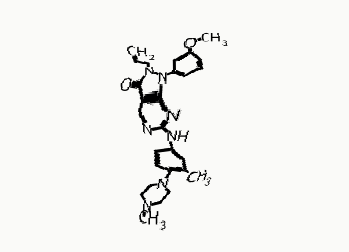 C=CCn1c(=O)c2cnc(Nc3ccc(N4CCN(C)CC4)c(C)c3)nc2n1-c1cccc(OC)c1